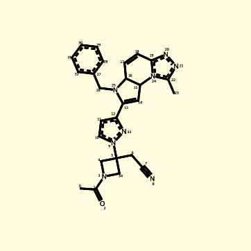 CC(=O)N1CC(CC#N)(n2ccc(C3=CC4C(C=Cc5nnc(C)n54)N3Cc3ccccc3)n2)C1